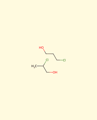 CC(Cl)CO.OCCCCl